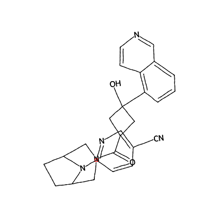 N#Cc1ccc(N2C3CCC2CN(C(=O)C2CC(O)(c4cccc5cnccc45)C2)C3)nc1